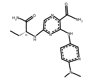 CC[C@@H](Nc1cnc(C(N)=O)c(Nc2ccc(N(C)C)nc2)n1)C(N)=O